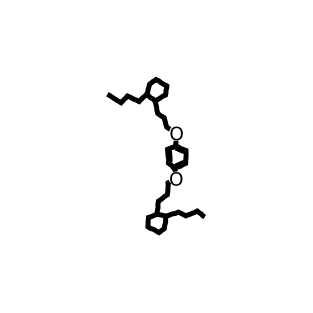 CCCCC1CCCCC1CCCOc1ccc(OCCCC2CCCCC2CCCC)cc1